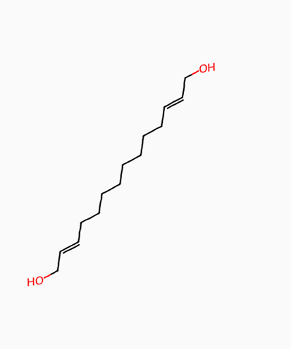 OCC=CCCCCCCCCC=CCO